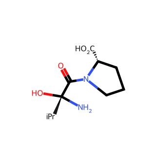 CC(C)[C@@](N)(O)C(=O)N1CCC[C@H]1C(=O)O